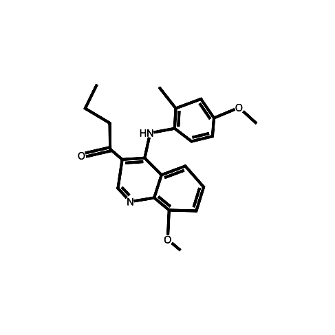 CCCC(=O)c1cnc2c(OC)cccc2c1Nc1ccc(OC)cc1C